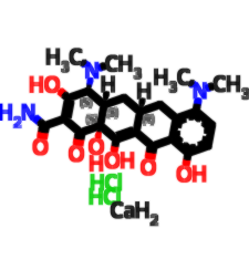 CN(C)c1ccc(O)c2c1C[C@H]1C[C@H]3[C@H](N(C)C)C(O)=C(C(N)=O)C(=O)[C@@]3(O)C(O)=C1C2=O.Cl.Cl.[CaH2]